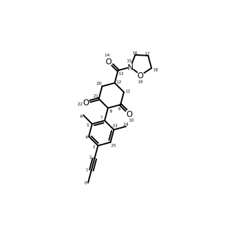 CC#Cc1cc(C)c(C2C(=O)CC(C(=O)N3CCCO3)CC2=O)c(C)c1